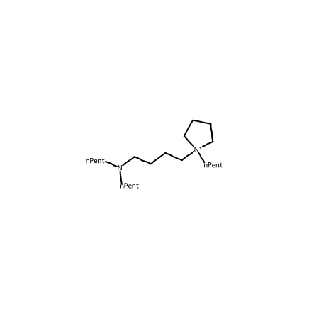 CCCCCN(CCCCC)CCCC[N+]1(CCCCC)CCCC1